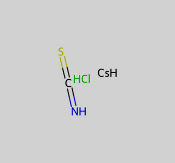 Cl.N=C=S.[CsH]